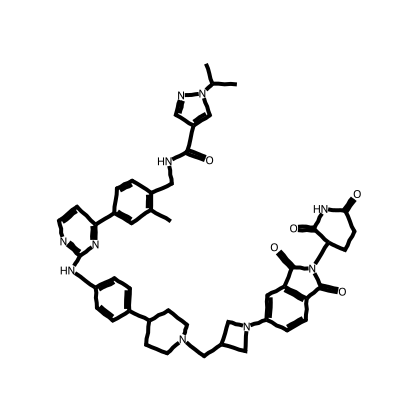 Cc1cc(-c2ccnc(Nc3ccc(C4CCN(CC5CN(c6ccc7c(c6)C(=O)N(C6CCC(=O)NC6=O)C7=O)C5)CC4)cc3)n2)ccc1CNC(=O)c1cnn(C(C)C)c1